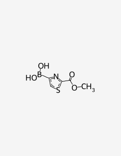 COC(=O)c1nc(B(O)O)cs1